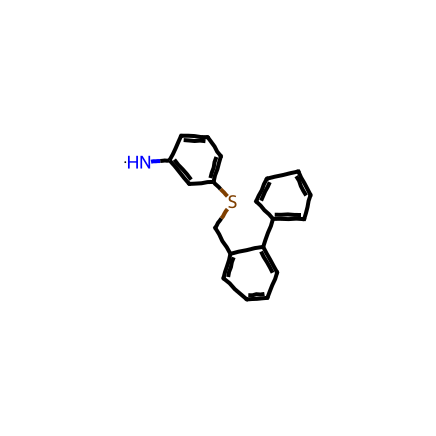 [NH]c1cccc(SCc2ccccc2-c2ccccc2)c1